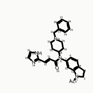 CC(=O)N1CCc2ccc(N(C(=O)/C=C/c3ncc[nH]3)C3CCN(Cc4ccccc4)CC3)cc21